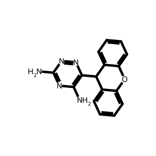 Nc1nnc(C2c3ccccc3Oc3ccccc32)c(N)n1